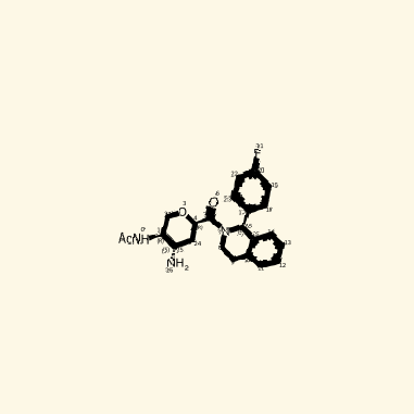 CC(=O)N[C@H]1CO[C@@H](C(=O)N2CCc3ccccc3[C@@H]2c2ccc(F)cc2)C[C@@H]1N